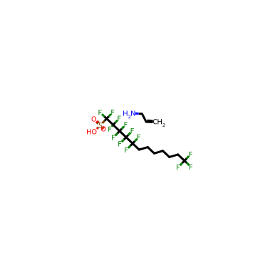 C=CCN.O=S(=O)(O)C(F)(F)C(F)(F)C(F)(F)C(F)(F)C(F)(F)CCCCCCC(F)(F)F